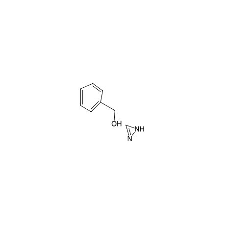 C1=NN1.OCc1ccccc1